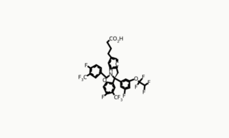 O=C(O)CCCc1ccc(C[C@@](NC(=O)c2ccc(F)c(C(F)(F)F)c2)(c2cc(F)cc(OC(F)(F)C(F)F)c2)c2ccc(F)c(C(F)(F)F)c2)cc1